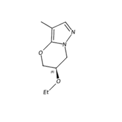 CCO[C@H]1COc2c(C)cnn2C1